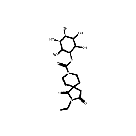 CCN1C(=O)CC2(CCN(C(=O)O[C@@H]3C(O)C(O)[C@H](O)[C@H](O)C3O)CC2)C1=O